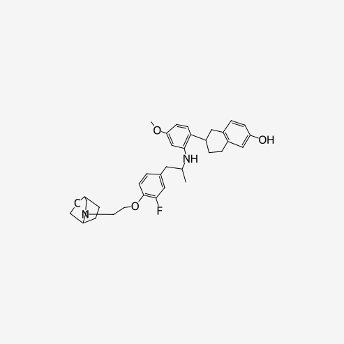 COc1ccc(C2CCc3cc(O)ccc3C2)c(NC(C)Cc2ccc(OCCN3CC4CCC(CC4)C3)c(F)c2)c1